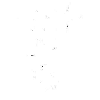 Nc1nc2c(ncn2[C@@H]2O[C@@H]3C(O)[C@]3(F)C2OP(=O)(S)OC[C@H]2O[C@@H](n3nnc4c(=O)[nH]cnc43)[C@@H](F)[C@@H]2O)c(=O)[nH]1